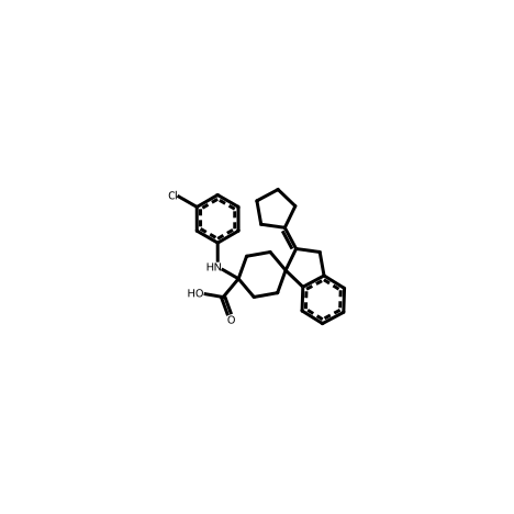 O=C(O)C1(Nc2cccc(Cl)c2)CCC2(CC1)C(=C1CCCC1)Cc1ccccc12